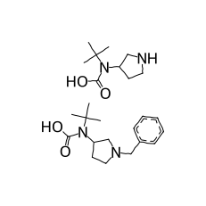 CC(C)(C)N(C(=O)O)C1CCN(Cc2ccccc2)C1.CC(C)(C)N(C(=O)O)C1CCNC1